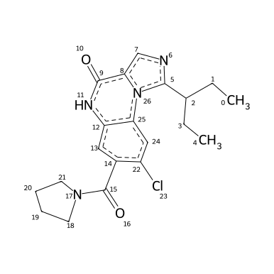 CCC(CC)c1ncc2c(=O)[nH]c3cc(C(=O)N4CCCC4)c(Cl)cc3n12